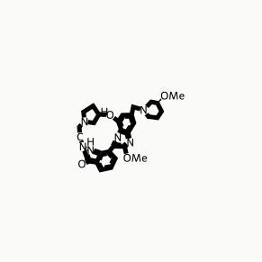 COc1nc2cc(CN3CCC[C@@H](OC)C3)cc3c2nc1-c1cccc2c(=O)n([nH]c12)CCN1CC[C@@H](C1)O3